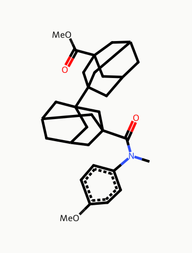 COC(=O)C12CC3CC(C1)CC(C14CC5CC(CC(C(=O)N(C)c6ccc(OC)cc6)(C5)C1)C4)(C3)C2